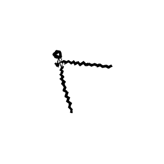 CCCCCCCCCCCCCCCCCCCc1n(-c2ccccc2)cc[n+]1CCCCCCCCCCCCCCCCCC